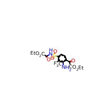 CCOC(=O)C(=O)NS(=O)(=O)c1ccc(C(=O)C(=O)OCC)c(N)c1C(F)(F)F